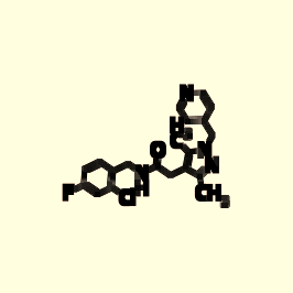 Cc1nn(Cc2ccncc2)c(C)c1CC(=O)NCc1ccc(F)cc1Cl